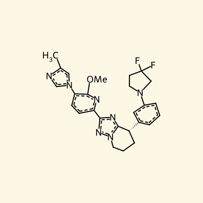 COc1nc(-c2nc3n(n2)CCC[C@H]3c2cccc(N3CCC(F)(F)C3)c2)ccc1-n1cnc(C)c1